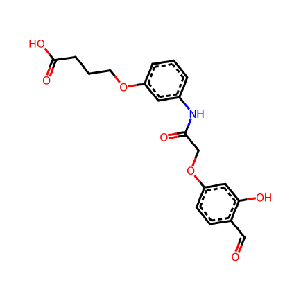 O=Cc1ccc(OCC(=O)Nc2cccc(OCCCC(=O)O)c2)cc1O